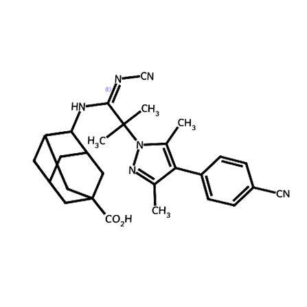 Cc1nn(C(C)(C)/C(=N\C#N)NC2C3CC4CC2CC(C(=O)O)(C4)C3)c(C)c1-c1ccc(C#N)cc1